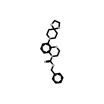 O=C(OCc1ccccc1)N1CCOc2c(N3CCC4(CC3)OCCO4)cccc21